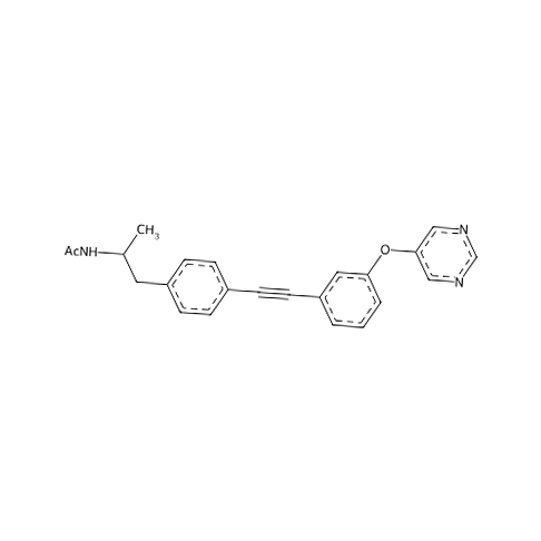 CC(=O)NC(C)Cc1ccc(C#Cc2cccc(Oc3cncnc3)c2)cc1